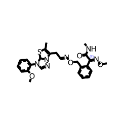 CNC(=O)/C(=N/OC)c1ccccc1CON=CCC1=C(C)SC2N1N=CN2c1ccccc1OC